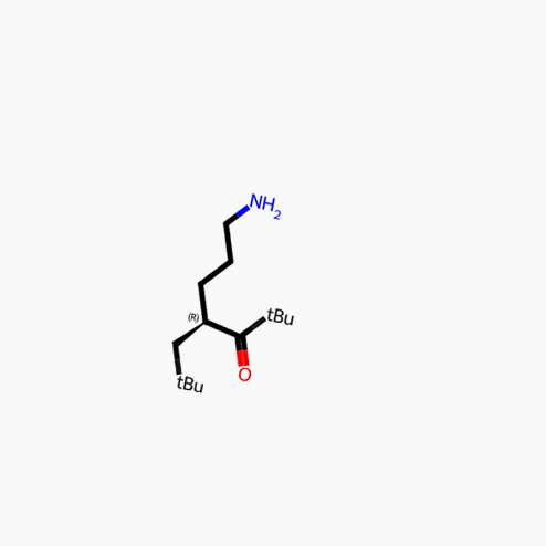 CC(C)(C)C[C@@H](CCCN)C(=O)C(C)(C)C